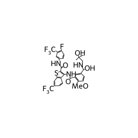 COc1ccc(C(O)NCC(C)(C)O)cc1C(=O)Nc1c(C(=O)Nc2ccc(F)c(C(F)(F)F)c2)sc2cc(C(F)(F)F)ccc12